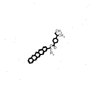 CCC(C)C1CCC(C(=O)OC(C)c2ccc3cc4cc5cc6ccccc6cc5cc4cc3c2)CC1